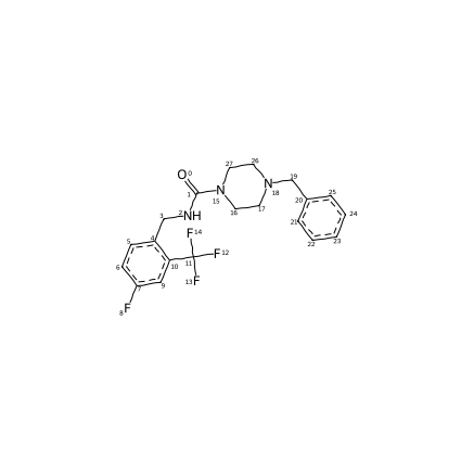 O=C(NCc1ccc(F)cc1C(F)(F)F)N1CCN(Cc2ccccc2)CC1